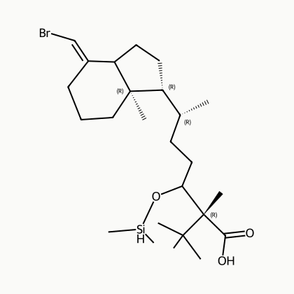 C[C@H](CCC(O[SiH](C)C)[C@](C)(C(=O)O)C(C)(C)C)[C@H]1CCC2C(=CBr)CCC[C@@]21C